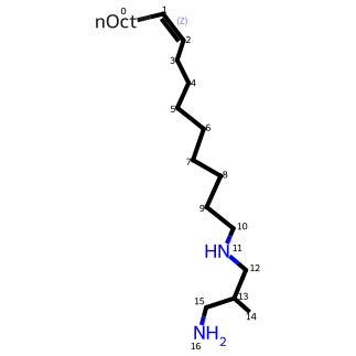 CCCCCCCC/C=C\CCCCCCCCNCC(C)CN